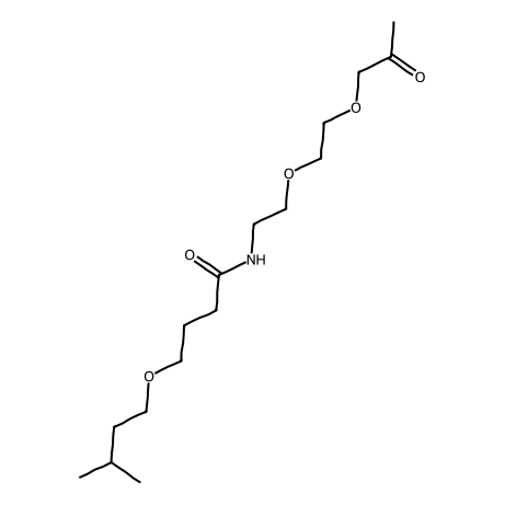 CC(=O)COCCOCCNC(=O)CCCOCCC(C)C